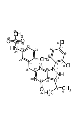 CC(C)c1[nH]n(-c2c(Cl)cc(Cl)cc2Cl)c2nc(Cc3cccc(NS(C)(=O)=O)c3)nc(=O)c1-2